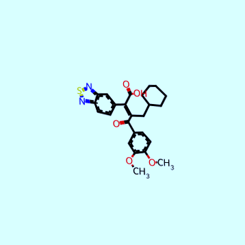 COc1ccc(C(=O)C(CC2CCCCC2)=C(C(=O)O)c2ccc3nsnc3c2)cc1OC